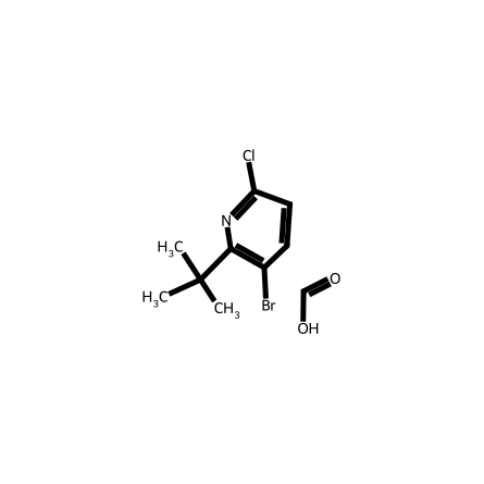 CC(C)(C)c1nc(Cl)ccc1Br.O=CO